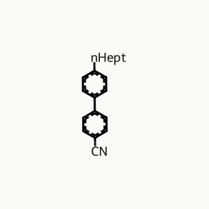 CCCCCCCc1ccc(-c2ccc(C#N)cc2)cc1